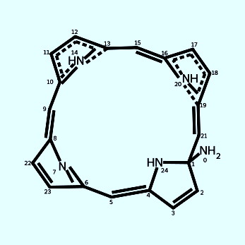 NC12C=C/C(=C/C3=NC(=C\c4ccc([nH]4)/C=c4/cc/c([nH]4)=C/1)/C=C3)N2